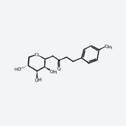 O=C(CCc1ccc(O)cc1)CC1OC[C@@H](O)[C@H](O)[C@@H]1O